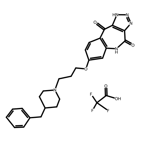 O=C(O)C(F)(F)F.O=c1[nH]c2cc(OCCCN3CCC(Cc4ccccc4)CC3)ccc2c(=O)c2[nH]nnc12